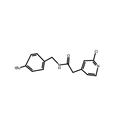 CC(C)(C)c1ccc(CNC(=O)Cc2ccnc(Cl)c2)cc1